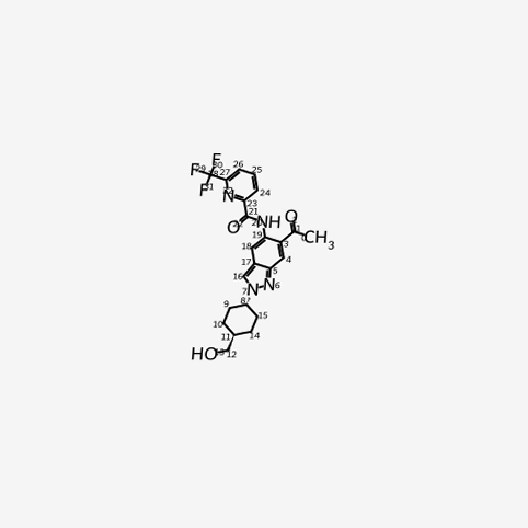 CC(=O)c1cc2nn([C@H]3CC[C@H](CO)CC3)cc2cc1NC(=O)c1cccc(C(F)(F)F)n1